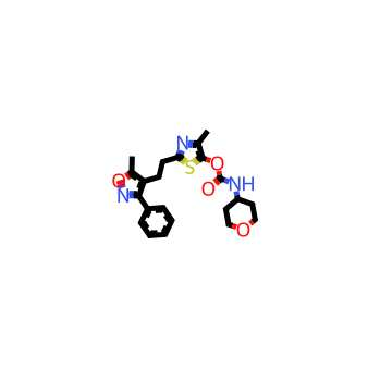 Cc1nc(CCc2c(-c3ccccc3)noc2C)sc1OC(=O)NC1CCOCC1